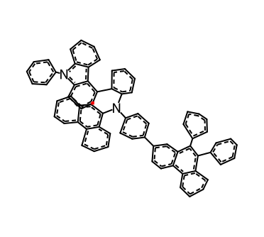 c1ccc(-c2c(-c3ccccc3)c3cc(-c4ccc(N(c5ccccc5-c5cccc6c5c5ccccc5n6-c5ccccc5)c5cc6ccccc6c6ccccc56)cc4)ccc3c3ccccc23)cc1